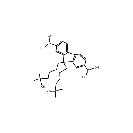 CC(C)(C#N)CCCCC1(CCCCC(C)(C)C#N)c2cc(B(O)O)ccc2-c2ccc(B(O)O)cc21